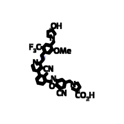 COc1cc(/C=C/c2nccc(-c3cccc(-c4nc5cc(CN6CC[C@@H](C(=O)O)C6)cc(C#N)c5o4)c3C)c2C#N)c(C(F)(F)F)cc1CN1CC[C@@H](O)C1